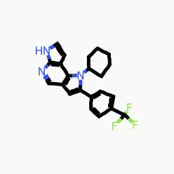 FC(F)(F)c1ccc(-c2cc3cnc4[nH]ccc4c3n2C2CCCCC2)cc1